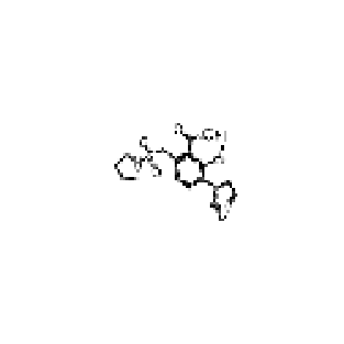 COc1c(-c2ccoc2)ccc(CS(=O)(=O)N2CCCC2)c1C(=O)O